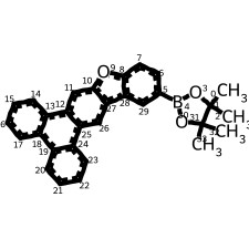 CC1(C)OB(c2ccc3oc4cc5c6ccccc6c6ccccc6c5cc4c3c2)OC1(C)C